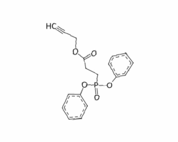 C#CCOC(=O)CCP(=O)(Oc1ccccc1)Oc1ccccc1